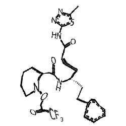 Cc1nnc(NC(=O)/C=C/[C@H](CCc2ccccc2)NC(=O)[C@@H]2CCCCN2OC(=O)C(F)(F)F)s1